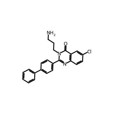 NCCCn1c(-c2ccc(-c3ccccc3)cc2)nc2ccc(Cl)cc2c1=O